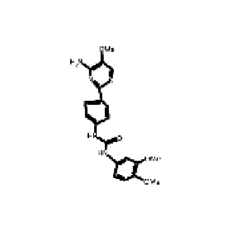 COc1ccc(NC(=O)Nc2ccc(-c3ncc(OC)c(N)n3)cc2)cc1OC